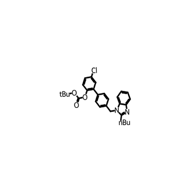 CCCCc1nc2ccccc2n1Cc1ccc(-c2cc(Cl)ccc2OC(=O)OC(C)(C)C)cc1